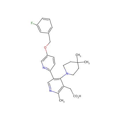 Cc1ncc(-c2ccc(OCc3cccc(F)c3)cn2)c(N2CCC(C)(C)CC2)c1CC(=O)O